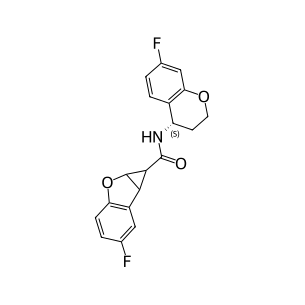 O=C(N[C@H]1CCOc2cc(F)ccc21)C1C2Oc3ccc(F)cc3C21